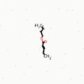 [CH2]CC=CC(=O)OCCCC